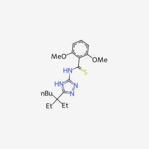 CCCCC(CC)(CC)c1nnc(NC(=S)c2c(OC)cccc2OC)[nH]1